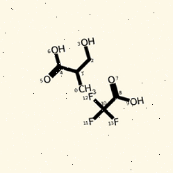 CC(CO)C(=O)O.O=C(O)C(F)(F)F